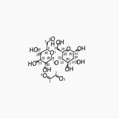 O=CC=O.OC[C@H]1O[C@H](O[C@H]2[C@H](O)[C@@H](O)[C@H](O)O[C@@H]2CO)[C@H](O)[C@@H](O)[C@@H]1O